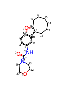 O=C(Nc1ccc2oc3c(c2c1)CCCCCC3)N1CCOCC1